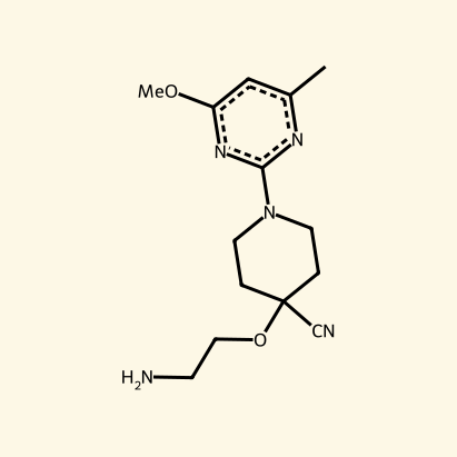 COc1cc(C)nc(N2CCC(C#N)(OCCN)CC2)n1